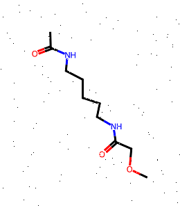 COCC(=O)NCCCCCNC(C)=O